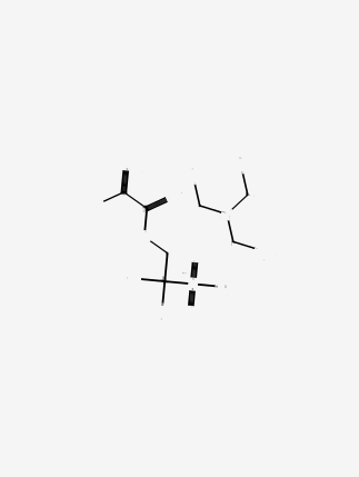 C=C(C)C(=O)OCC(F)(F)S(=O)(=O)O.CCN(CC)CC